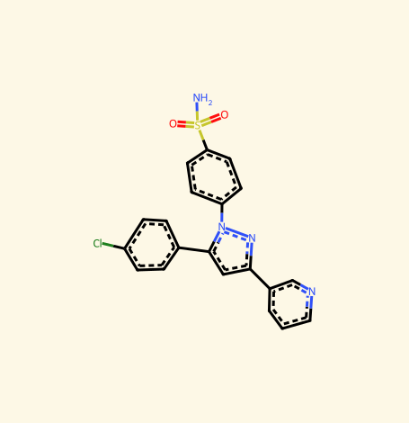 NS(=O)(=O)c1ccc(-n2nc(-c3cccnc3)cc2-c2ccc(Cl)cc2)cc1